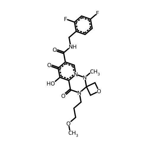 COCCCN1C(=O)c2c(O)c(=O)c(C(=O)NCc3ccc(F)cc3F)cn2N(C)C12COC2